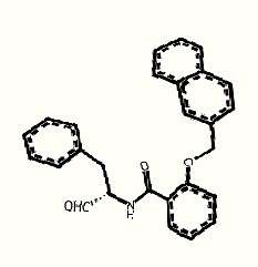 O=C[C@H](Cc1ccccc1)NC(=O)c1ccccc1OCc1ccc2ccccc2c1